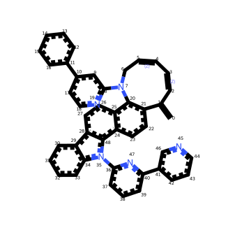 C=C1/C=C\C=C/CN(c2cc(-c3ccccc3)ccn2)c2c1ccc1c2ccc2c3ccccc3n(-c3cccc(-c4cccnc4)n3)c12